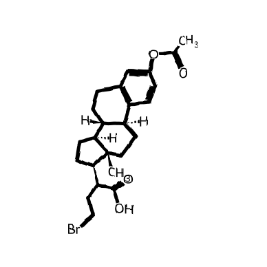 CC(=O)Oc1ccc2c(c1)CC[C@@H]1[C@@H]2CC[C@]2(C)[C@@H](C(CCBr)C(=O)O)CC[C@@H]12